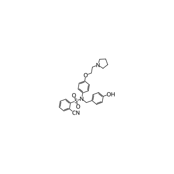 N#Cc1ccccc1S(=O)(=O)N(Cc1ccc(O)cc1)c1ccc(OCCN2CCCC2)cc1